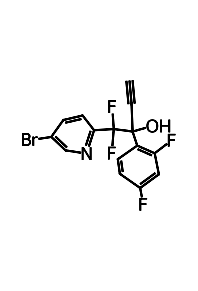 C#CC(O)(c1ccc(F)cc1F)C(F)(F)c1ccc(Br)cn1